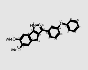 COc1cc2c(cc1OC)-c1[nH]nc(-c3cccc(Oc4ccccc4)c3)c1C2